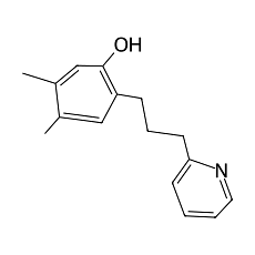 Cc1cc(O)c(CCCc2ccccn2)cc1C